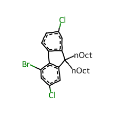 CCCCCCCCC1(CCCCCCCC)c2cc(Cl)ccc2-c2c(Br)cc(Cl)cc21